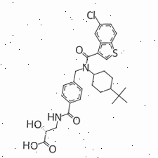 CC(C)(C)C1CCC(N(Cc2ccc(C(=O)NC[C@@H](O)C(=O)O)cc2)C(=O)c2csc3ccc(Cl)cc23)CC1